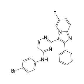 Fc1ccc2nc(-c3ccccc3)c(-c3nccc(Nc4ccc(Br)cc4)n3)n2c1